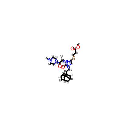 COC(=O)CCSCCN(CCC12CC3CC(CC(C3)C1)C2)C(=O)N[C@@H](C)C(=O)N1CCN(C)CC1